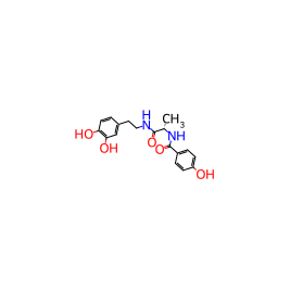 C[C@H](NC(=O)c1ccc(O)cc1)C(=O)NCCc1ccc(O)c(O)c1